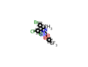 Cc1nc(CNS(=O)(=O)c2ccc(C(F)(F)F)cc2)nc(-c2ccc(Cl)cc2Cl)c1-c1ccc(Br)cc1